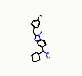 CCCNC(c1ccc2c(c1)nc(Cc1ccc(C#N)cc1)n2C)C1CCCCC1